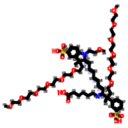 COCCOCCOCCOCCOCCOCCC(C)(C(/C=C/C=C/C=C/C=C1/N(CCOC)c2ccc(S(=O)(=O)O)cc2C1(C)CCOCCOCCOCCOCCOCCOC)=N/CCCCCC(=O)O)c1cccc(S(=O)(=O)O)c1